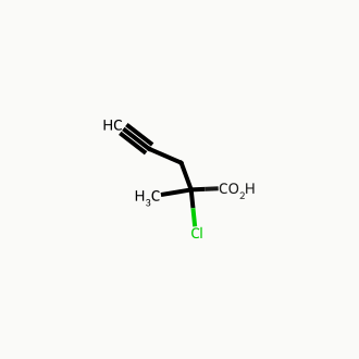 C#CCC(C)(Cl)C(=O)O